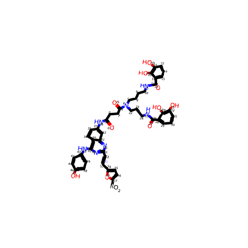 O=C(CCC(=O)N(CCCCNC(=O)c1cccc(O)c1O)CCCNC(=O)c1cccc(O)c1O)Nc1ccc2c(Nc3ccc(O)cc3)nc(/C=C/c3ccc([N+](=O)[O-])o3)nc2c1